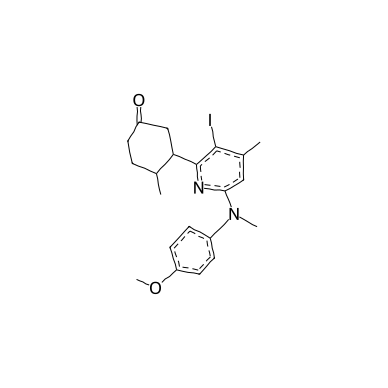 COc1ccc(N(C)c2cc(C)c(I)c(C3CC(=O)CCC3C)n2)cc1